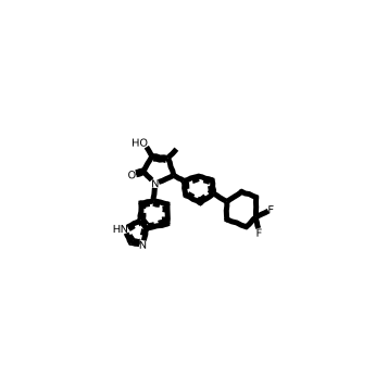 CC1=C(O)C(=O)N(c2ccc3nc[nH]c3c2)C1c1ccc(C2CCC(F)(F)CC2)cc1